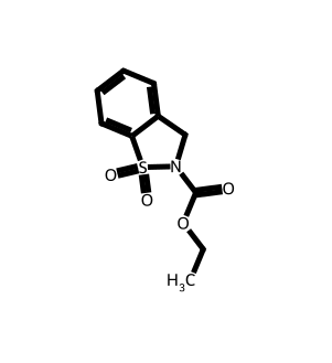 CCOC(=O)N1Cc2ccccc2S1(=O)=O